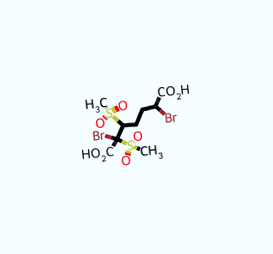 CS(=O)(=O)C(CCC(Br)C(=O)O)C(Br)(C(=O)O)S(C)(=O)=O